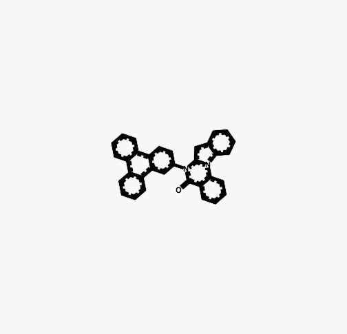 O=c1c2ccccc2n2c3ccccc3cc2n1-c1ccc2c3ccccc3c3ccccc3c2c1